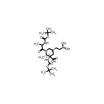 CC(NC(=O)OC(C)(C)C)C(=O)N1C[C@@H](CCB(O)O)C[C@](NC(=O)OC(C)(C)C)(C(=O)O)[C@@H]1C